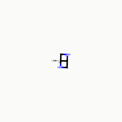 C1N[C@H]2CNC12